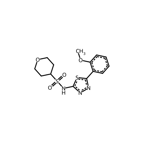 COc1ccccc1-c1nnc(NS(=O)(=O)C2CCOCC2)s1